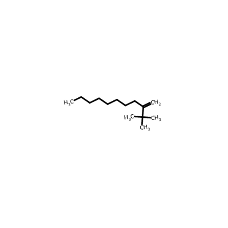 C=C(CCCCCCCC)C(C)(C)C